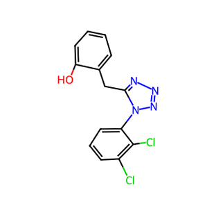 Oc1ccccc1Cc1nnnn1-c1cccc(Cl)c1Cl